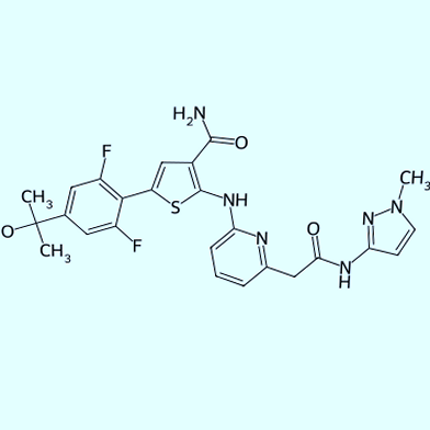 Cn1ccc(NC(=O)Cc2cccc(Nc3sc(-c4c(F)cc(C(C)(C)O)cc4F)cc3C(N)=O)n2)n1